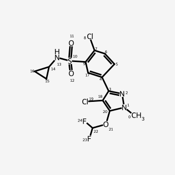 Cn1nc(-c2ccc(Cl)c(S(=O)(=O)NC3CC3)c2)c(Cl)c1OC(F)F